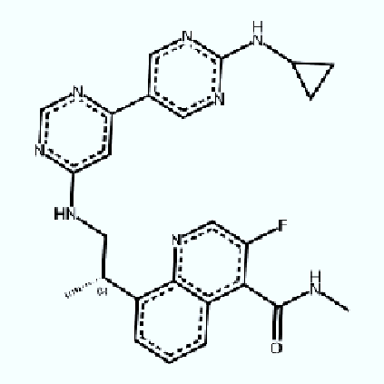 CNC(=O)c1c(F)cnc2c([C@H](C)CNc3cc(-c4cnc(NC5CC5)nc4)ncn3)cccc12